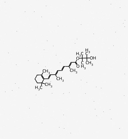 CC1=C(/C=C/C(C)=C/C=C/C(C)=C/C(=O)OC(C)(C)C(C)(C)O)C(C)(C)CCC1